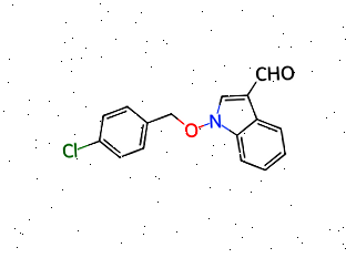 O=Cc1cn(OCc2ccc(Cl)cc2)c2ccccc12